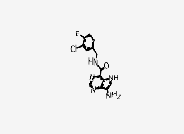 Nc1c[nH]c2c(C(=O)NCc3ccc(F)c(Cl)c3)ncnc12